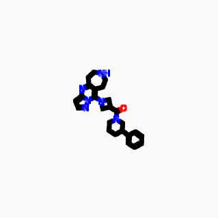 O=C(C1CN(c2c3c(nc4ccnn24)CCNCC3)C1)N1CCCC(c2ccccc2)C1